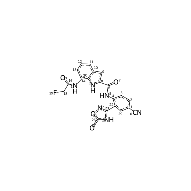 N#Cc1ccc(NC(=O)c2cc3cccc(NC(=O)CF)c3[nH]2)c(-c2noc(=O)[nH]2)c1